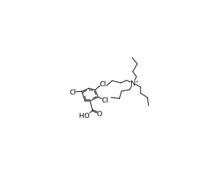 CCCC[N+](CCCC)(CCCC)CCCC.O=C(O)c1cc(Cl)cc(Cl)c1Cl